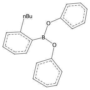 CCCCc1ccccc1B(Oc1ccccc1)Oc1ccccc1